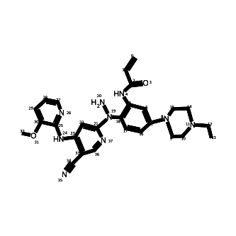 C=CC(=O)Nc1cc(N2CCN(CC)CC2)ccc1N(N)c1cc(Nc2ncccc2OC)c(C#N)cn1